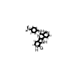 CN(C)c1ccc(Nc2nc3c4cc[nH]c(=O)c4[nH]c3c3ccncc23)cc1